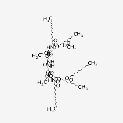 C=CCOP(=O)(OCCNC(=O)NCCOP(=O)(OCC=C)OC[C@@H](COCC[C@@H](CCCCCCC)OC(=O)CCCCCCCCCCC)NC(=O)CC(=O)CCCCCCCCCCC)OC[C@@H](COCC[C@@H](CCCCCCC)OC(C)=O)NC(=O)CC(=O)CCCCCCCCCCC